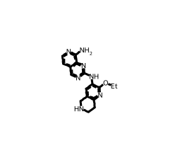 CCOc1nc2c(cc1Nc1ncc3ccnc(N)c3n1)CNCC2